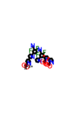 N#Cc1c(F)ccc(-c2ccccn2)c1F.N#Cc1c(F)ccc(-c2ccccn2)c1F.O=C([O-])c1ccccn1.O=C([O-])c1ccccn1.O=C([O-])c1ccccn1.[Ir+3]